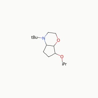 CC(C)OC1CCC2C1OCCN2C(C)(C)C